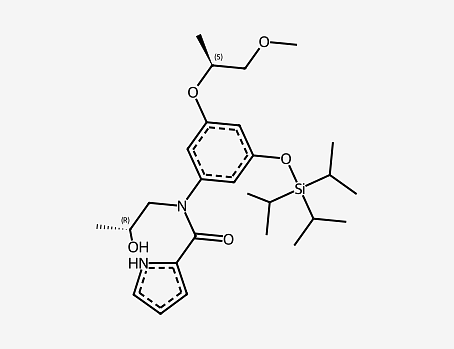 COC[C@H](C)Oc1cc(O[Si](C(C)C)(C(C)C)C(C)C)cc(N(C[C@@H](C)O)C(=O)c2ccc[nH]2)c1